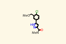 CNC(=O)c1cc(-c2ccc(Cl)c(COC)c2)[nH]n1